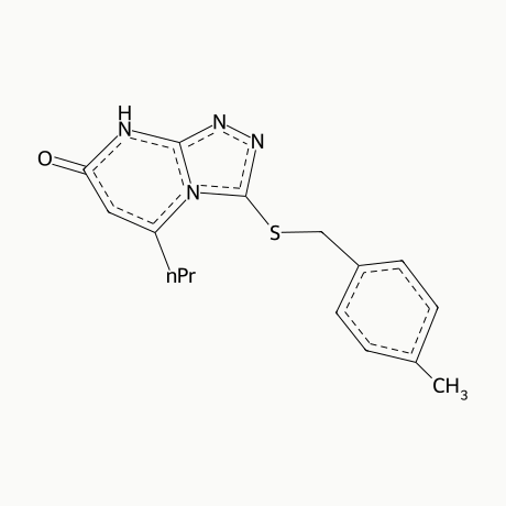 CCCc1cc(=O)[nH]c2nnc(SCc3ccc(C)cc3)n12